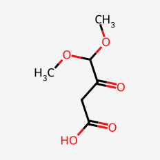 COC(OC)C(=O)CC(=O)O